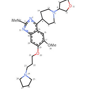 CNc1nc(C2CCN(C3CCOC3)CC2)c2cc(OC)c(OCCCN3CCCC3)cc2n1